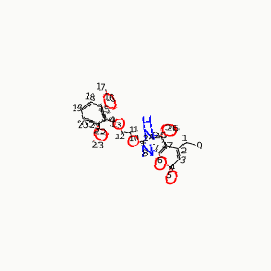 CCc1cc(=O)oc2nc(OCCOc3c(OC)cccc3OC)[nH]c(=O)c12